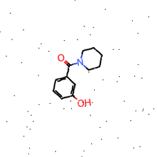 O=C(c1cccc(O)c1)N1[CH]CCCC1